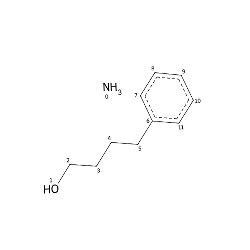 N.OCCCCc1ccccc1